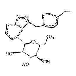 CCc1ccc(Cn2nnc3cccc([C@@H]4O[C@H](CO)[C@@H](O)[C@H](O)[C@H]4O)c32)cc1